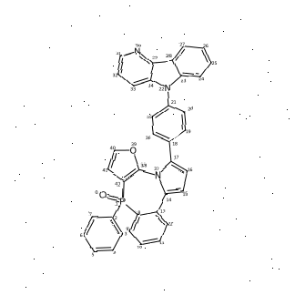 O=P1(c2ccccc2)c2ccccc2-c2ccc(-c3ccc(-n4c5ccccc5c5ncccc54)cc3)n2-c2occc21